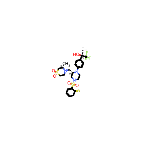 C[C@H]1CS(=O)(=O)CCN1C[C@H]1CN(S(=O)(=O)C2=CC=CCC2=S)CCN1c1ccc([C@](C)(O)C(F)(F)F)cc1